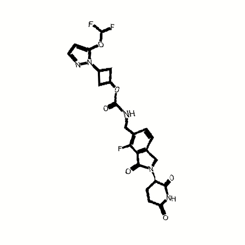 O=C1CC[C@@H](N2Cc3ccc(CNC(=O)OC4CC(n5nccc5OC(F)F)C4)c(F)c3C2=O)C(=O)N1